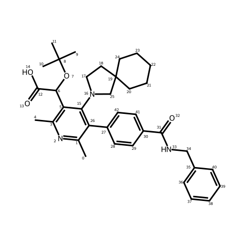 Cc1nc(C)c(C(OC(C)(C)C)C(=O)O)c(N2CCC3(CCCCC3)C2)c1-c1ccc(C(=O)NCc2ccccc2)cc1